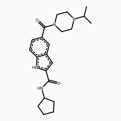 CC(C)N1CCN(C(=O)c2ccc3[nH]c(C(=O)NC4CCCC4)cc3c2)CC1